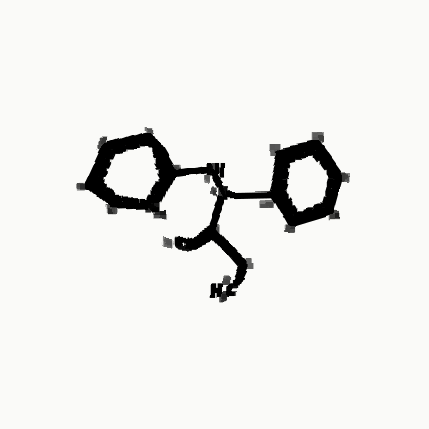 CCC(=O)N(Nc1ccccn1)c1ccccc1